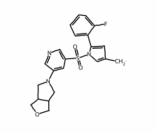 [CH2]c1cc(-c2ccccc2F)n(S(=O)(=O)c2cncc(N3CC4COCC4C3)c2)c1